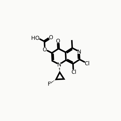 Cc1nc(Cl)c(Cl)c2c1c(=O)c(OC(=O)O)cn2[C@@H]1C[C@@H]1F